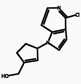 OCC1=CC(n2ccc3c(Cl)nccc32)CC1